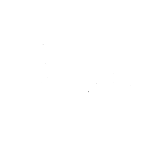 CCc1cc(C(=O)NCC(c2ccccc2)N(C)C)ccc1NC(=O)Nc1cnc(C)cn1